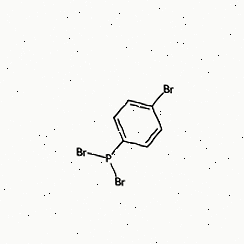 Brc1ccc(P(Br)Br)cc1